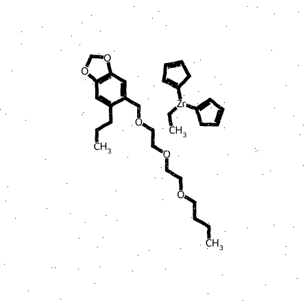 CCCCOCCOCCOCc1cc2c(cc1CCC)OCO2.C[CH2][Zr]([C]1=CC=CC1)[C]1=CC=CC1